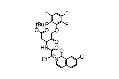 CC[C@@H](C(=O)NC(CC(=O)OC(C)(C)C)C(=O)COc1c(F)c(F)cc(F)c1F)n1ccc2ccc(Cl)cc2c1=O